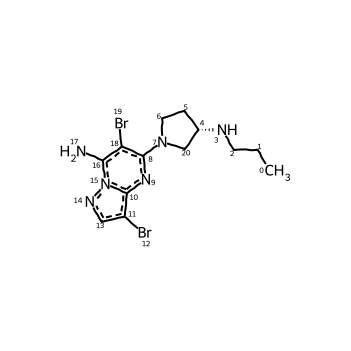 CCCN[C@H]1CCN(c2nc3c(Br)cnn3c(N)c2Br)C1